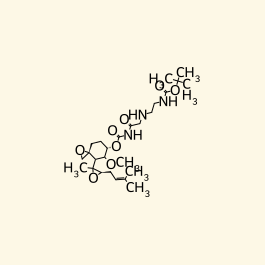 COC1C(C2(C)O[C@@H]2CC=C(C)C)[C@]2(CC[C@@H]1OC(=O)NC(=O)CNCCNC(=O)OC(C)(C)C)CO2